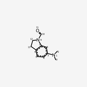 CN(C)c1ccc2c(c1)N(C=O)CC2